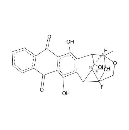 CC12OCC(O1)C1c3c(O)c4c(c(O)c3C2[C@@H](O)[C@H]1F)C(=O)c1ccccc1C4=O